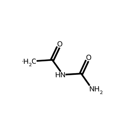 [CH2]C(=O)NC(N)=O